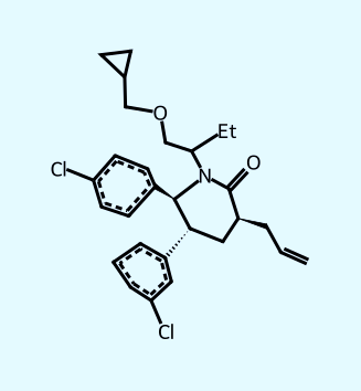 C=CC[C@H]1C[C@H](c2cccc(Cl)c2)[C@@H](c2ccc(Cl)cc2)N(C(CC)COCC2CC2)C1=O